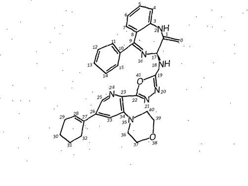 C=C1Nc2ccccc2C(c2ccccc2)=N[C@@H]1Nc1nnc(-c2ncc(C3=CCCCC3)cc2N2CCOCC2)o1